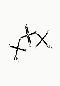 O=S(=O)(OC(F)(F)C(F)(F)F)OC(F)(F)C(F)(F)F